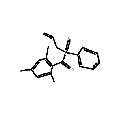 C=CCP(=O)(C(=O)c1c(C)cc(C)cc1C)c1ccccc1